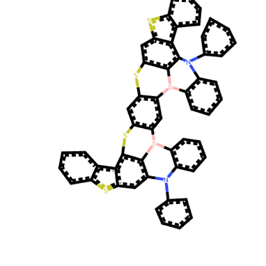 c1ccc(N2c3ccccc3B3c4cc5c(cc4Sc4c3c2cc2sc3ccccc3c42)Sc2cc3sc4ccccc4c3c3c2B5c2ccccc2N3c2ccccc2)cc1